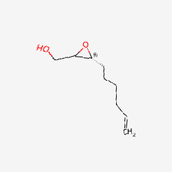 C=CCCCC[C@H]1OC1CO